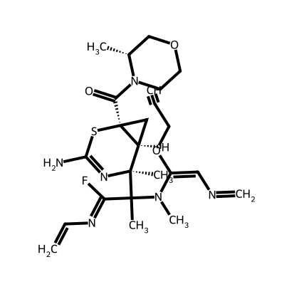 C#CCO/C(=C/N=C)N(C)C(C)(C(F)=NC=C)[C@@]1(C)N=C(N)S[C@@]2(C(=O)N3CCOC[C@H]3C)C[C@@H]12